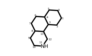 C1CCC2C(C1)CCC1CCNCC12